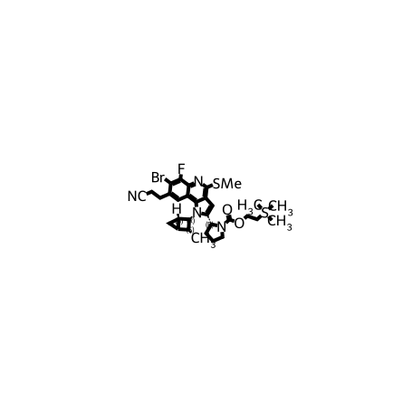 CSc1nc2c(F)c(Br)c(CCC#N)cc2c2c1cc([C@H]1CCCN1C(=O)OCCS(C)(C)C)n2[C@@H]1[C@@H](C)C2C[C@@H]21